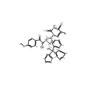 COc1ccc(C(=O)C(O)[C@H]2O[C@@H](n3cc(C)c(=O)[nH]c3=O)C[C@@H]2NC(c2ccccc2)(c2ccccc2)c2ccccc2)cc1